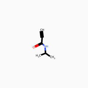 C#CC(=O)NC(C)C